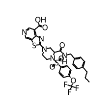 CCCc1ccc(CNC(=O)C2CN(c3nc4c(C(=O)O)cncc4s3)CCN2S(=O)(=O)c2ccc(OC(F)(F)F)cc2)cc1